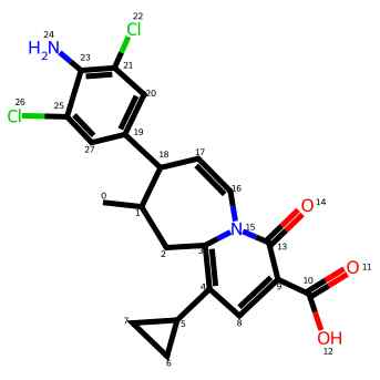 CC1Cc2c(C3CC3)cc(C(=O)O)c(=O)n2C=CC1c1cc(Cl)c(N)c(Cl)c1